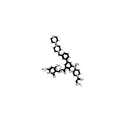 C=CC(=O)N1CCC(N(CC)c2cc(-c3cccc(CN4CCN(N5CCOCC5)CC4)c3)cc(C(=O)NCc3c(C)cc(C)[nH]c3=O)c2C)CC1